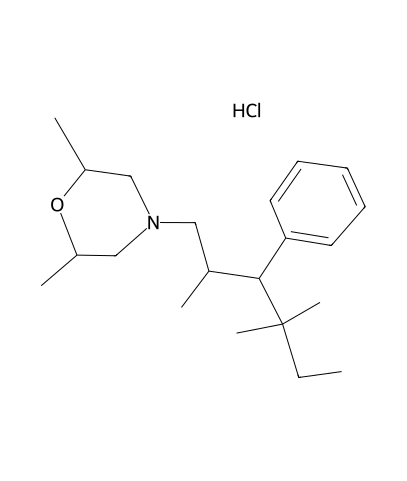 CCC(C)(C)C(c1ccccc1)C(C)CN1CC(C)OC(C)C1.Cl